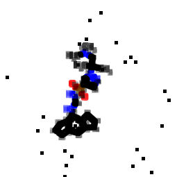 CN(C)CC(C)(C)n1cc(S(=O)(=O)NCNc2c3c(cc4c2CCC4)CCC3)cn1